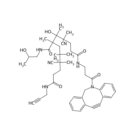 C#CCNC(=O)CCC(C)(C#N)C(C)(C)CC(C)(C(=O)NCC(C)O)C(C)(O)C(C)(C#N)CCC(=O)NCCC(=O)N1Cc2ccccc2C#Cc2ccccc21